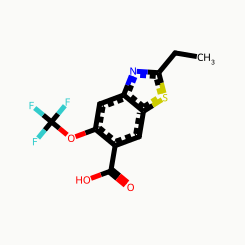 CCc1nc2cc(OC(F)(F)F)c(C(=O)O)cc2s1